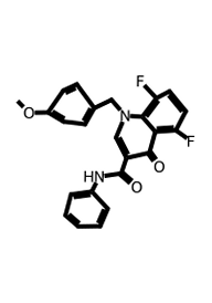 COc1ccc(Cn2cc(C(=O)Nc3ccccc3)c(=O)c3c(F)ccc(F)c32)cc1